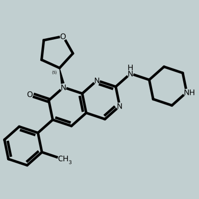 Cc1ccccc1-c1cc2cnc(NC3CCNCC3)nc2n([C@H]2CCOC2)c1=O